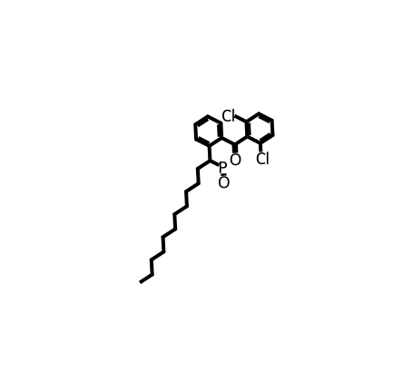 CCCCCCCCCCCC(P=O)c1ccccc1C(=O)c1c(Cl)cccc1Cl